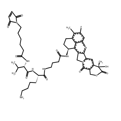 Cc1c(F)cc2nc3c(c4c2c1CC[C@@H]4NC(=O)CCCNC(=O)[C@H](CCCCN)NC(=O)[C@@H](NC(=O)CCCCCN1C(=O)C=CC1=O)C(C)C)Cn1c-3cc2c(c1=O)COC(=O)[C@@]2(C)O